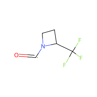 O=[C]N1CCC1C(F)(F)F